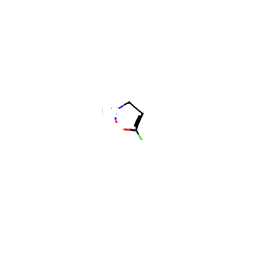 ClC1=[C]CNO1